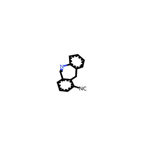 [C-]#[N+]c1cccc2c1Cc1ccccc1N=C2